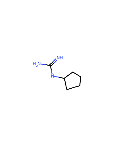 N=C(N)[N]C1CCCC1